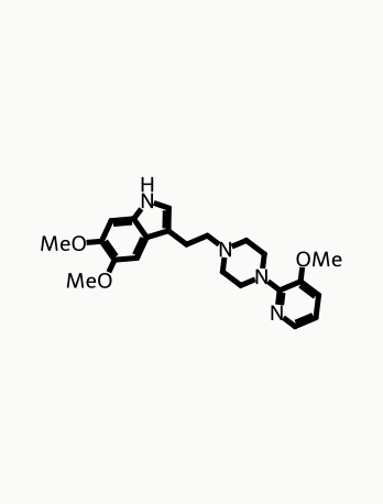 COc1cc2[nH]cc(CCN3CCN(c4ncccc4OC)CC3)c2cc1OC